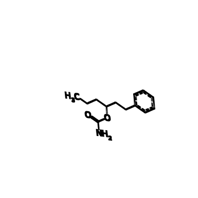 CCCC(CCc1ccccc1)OC(N)=O